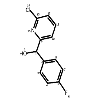 OC(c1ccc(F)cc1)c1cccc(Cl)n1